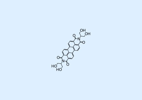 O=C1c2ccc3c4ccc5c6c(ccc(c7ccc(c2c37)C(=O)N1C(CO)CO)c64)C(=O)N(C(CO)CO)C5=O